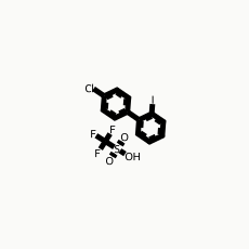 Clc1ccc(-c2ccccc2I)cc1.O=S(=O)(O)C(F)(F)F